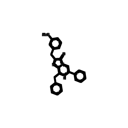 COc1cccc(Cc2nc3c(Cc4ccccc4)[nH]c(-c4ccccc4)cn-3c2=O)c1